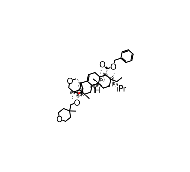 CC(C)[C@@H](C)[C@@]1(C)CC[C@]2(C)[C@H]3CC[C@@H]4[C@@]5(COC[C@]4(C)[C@@H](OCC4(C)CCOCC4)[C@H](C)C5)C3=CC[C@@]2(C)[C@@H]1C(=O)OCc1ccccc1